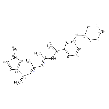 C=C(/C=C(C)/C=C(\C)NC(=C)c1cccc(CC2CCNCC2)c1)c1cnn(C(C)C)c1